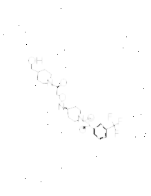 O=C(CON=C1CCN(S(=O)(=O)c2cccc(C(F)(F)F)c2)CC1)N1CCC(CO)CC1